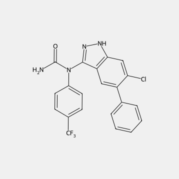 NC(=O)N(c1ccc(C(F)(F)F)cc1)c1n[nH]c2cc(Cl)c(-c3ccccc3)cc12